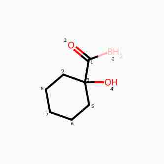 BC(=O)C1(O)CCCCC1